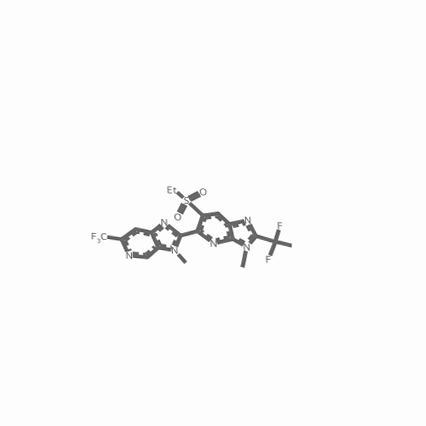 CCS(=O)(=O)c1cc2nc(C(C)(F)F)n(C)c2nc1-c1nc2cc(C(F)(F)F)ncc2n1C